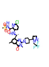 Cc1cc([C@@H](C)Nc2ccc(Cl)nc2C(=O)NS(C)(=O)=O)c2nc(N3CCC(c4ccnn4CC(F)(F)F)CC3)n(C)c(=O)c2c1